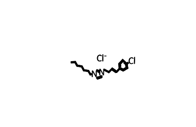 CCCCCCC[n+]1ccn(CCC=Cc2ccc(Cl)cc2)c1.[Cl-]